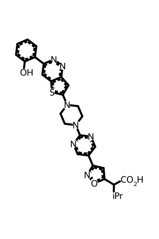 CC(C)C(C(=O)O)c1cc(-c2cnc(N3CCN(c4cc5nnc(-c6ccccc6O)cc5s4)CC3)nc2)no1